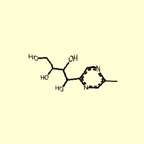 Cc1cnc(C(O)C(O)C(O)CO)cn1